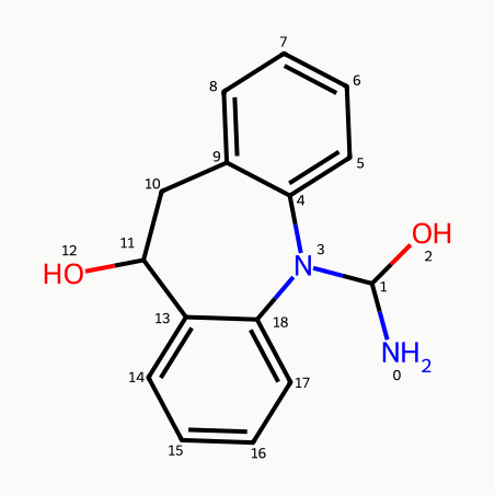 NC(O)N1c2ccccc2CC(O)c2ccccc21